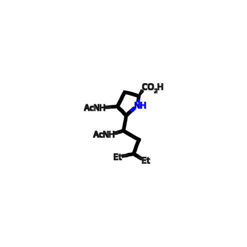 CCC(CC)CC(NC(C)=O)C1N[C@H](C(=O)O)CC1NC(C)=O